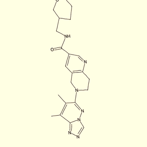 Cc1c(N2CCc3ncc(C(=O)NCC4CCCOC4)cc3C2)nn2cnnc2c1C